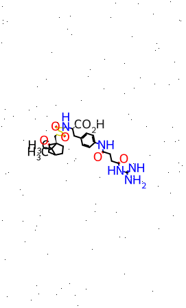 CC1(C)C2CC[C@@]1(CS(=O)(=O)N[C@@H](Cc1ccc(NC(=O)CCC(=O)NC(=N)N)cc1)C(=O)O)C(=O)C2